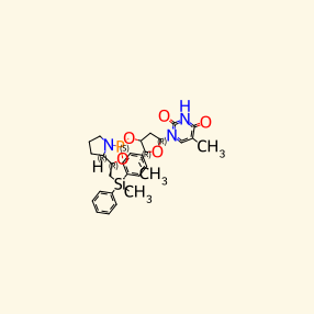 CC[C@H]1O[C@@H](n2cc(C)c(=O)[nH]c2=O)CC1O[P@]1O[C@@H](C[Si](C)(c2ccccc2)c2ccccc2)[C@H]2CCCN21